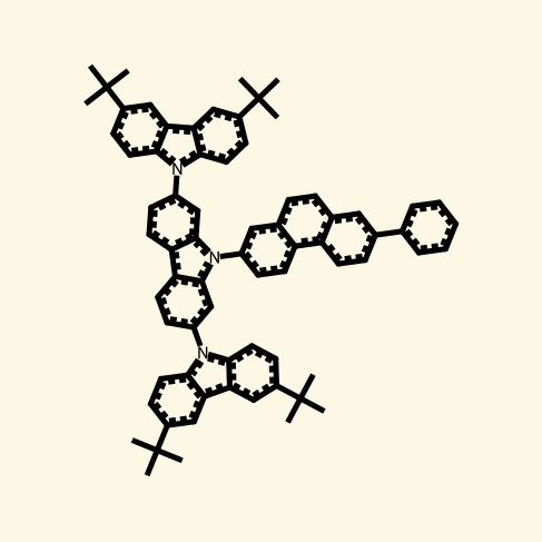 CC(C)(C)c1ccc2c(c1)c1cc(C(C)(C)C)ccc1n2-c1ccc2c3ccc(-n4c5ccc(C(C)(C)C)cc5c5cc(C(C)(C)C)ccc54)cc3n(-c3ccc4c(ccc5cc(-c6ccccc6)ccc54)c3)c2c1